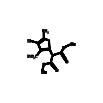 CCOC(=O)c1c(N(C(=O)OC(C)(C)C)C(=O)OC(C)(C)C)sc(C)c1CC